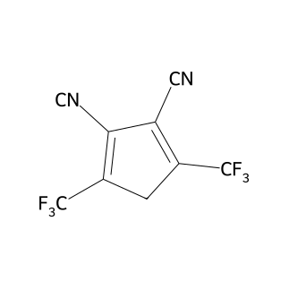 [C-]#[N+]C1=C(C(F)(F)F)CC(C(F)(F)F)=C1C#N